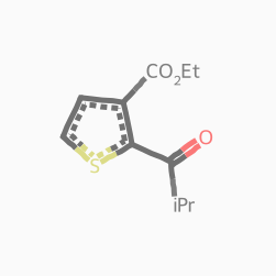 CCOC(=O)c1ccsc1C(=O)C(C)C